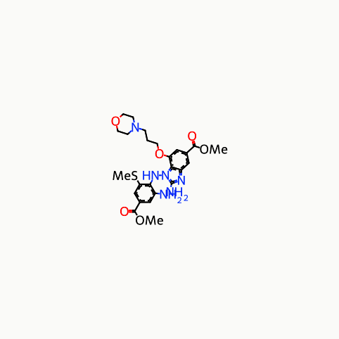 COC(=O)c1cc(N)c(Nn2c(N)nc3cc(C(=O)OC)cc(OCCCN4CCOCC4)c32)c(SC)c1